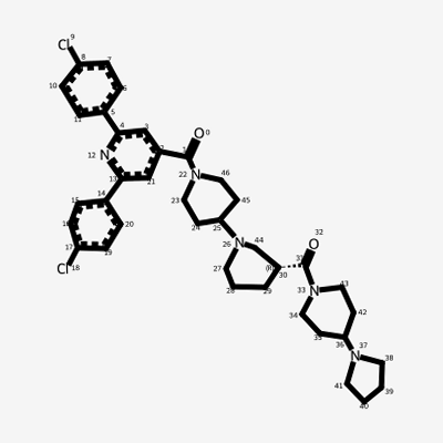 O=C(c1cc(-c2ccc(Cl)cc2)nc(-c2ccc(Cl)cc2)c1)N1CCC(N2CCC[C@@H](C(=O)N3CCC(N4CCCC4)CC3)C2)CC1